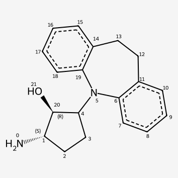 N[C@H]1CCC(N2c3ccccc3CCc3ccccc32)[C@@H]1O